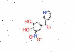 O=C(c1cccnc1)c1cc(O)c(O)c([N+](=O)[O-])c1